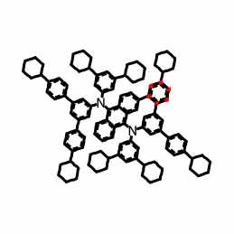 c1ccc(-c2ccc3c(N(c4cc(-c5ccc(C6CCCCC6)cc5)cc(-c5ccc(C6CCCCC6)cc5)c4)c4cc(C5CCCCC5)cc(C5CCCCC5)c4)c4ccccc4c(N(c4cc(-c5ccc(C6CCCCC6)cc5)cc(-c5ccc(C6CCCCC6)cc5)c4)c4cc(C5CCCCC5)cc(C5CCCCC5)c4)c3c2)cc1